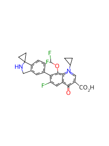 O=C(O)c1cn(C2CC2)c2c(OC(F)F)c(-c3ccc4c(c3)CNC43CC3)c(F)cc2c1=O